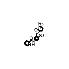 O=C1CCC(N2Cc3cc(NC(=O)c4ccccn4)ccc3C2=O)C(=O)N1